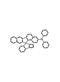 c1ccc(N(c2ccccc2)c2ccc3c4c(ccc3c2)-c2cc3ccccc3cc2C42c3ccccc3-c3ccccc32)cc1